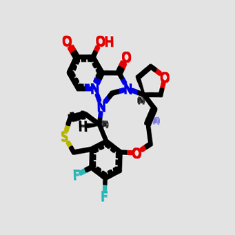 O=C1c2c(O)c(=O)ccn2N2CN1[C@]1(/C=C/COc3cc(F)c(F)c4c3[C@@H]2c2ccccc2SC4)CCOC1